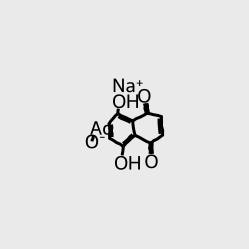 CC(=O)[O-].O=C1C=CC(=O)c2c(O)ccc(O)c21.[Na+]